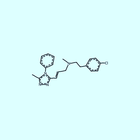 Cc1nnc(C=CCN(C)CCc2ccc(Cl)cc2)n1-c1ccccc1